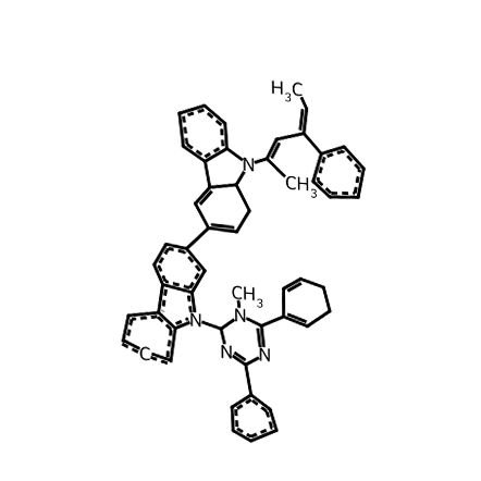 C/C=C(\C=C(/C)N1c2ccccc2C2=CC(c3ccc4c5ccccc5n(C5N=C(c6ccccc6)N=C(C6=CCCC=C6)N5C)c4c3)=CCC21)c1ccccc1